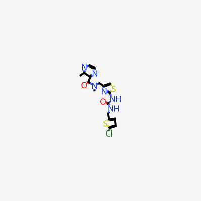 Cc1nccnc1C(=O)N(C)Cc1csc(NC(=O)NCc2ccc(Cl)s2)n1